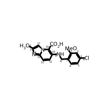 COc1cc(Cl)ccc1CNc1ccc2nc(C)cn2c1C(=O)O